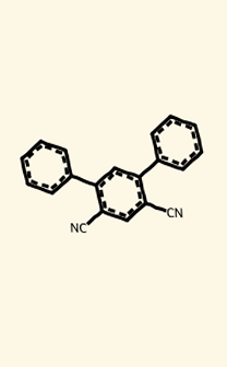 N#Cc1cc(C#N)c(-c2ccccc2)cc1-c1ccccc1